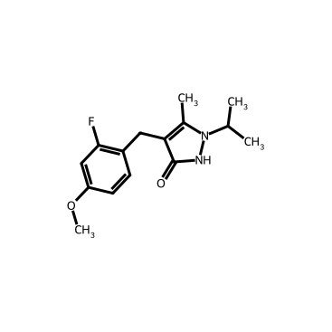 COc1ccc(Cc2c(C)n(C(C)C)[nH]c2=O)c(F)c1